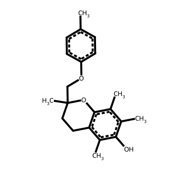 Cc1ccc(OCC2(C)CCc3c(C)c(O)c(C)c(C)c3O2)cc1